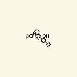 Oc1cc(-n2cccn2)ccc1-c1cc2c(nn1)N([C@@H]1CCC(F)(F)C1)CCCC2